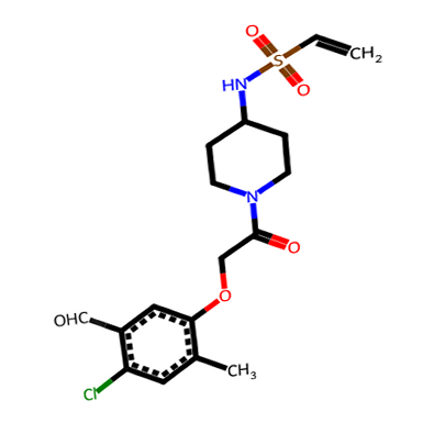 C=CS(=O)(=O)NC1CCN(C(=O)COc2cc(C=O)c(Cl)cc2C)CC1